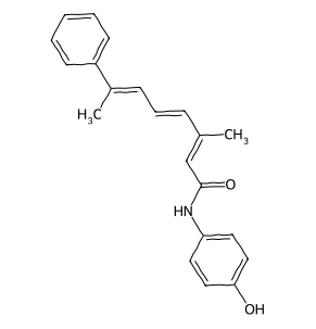 CC(C=CC=C(C)c1ccccc1)=CC(=O)Nc1ccc(O)cc1